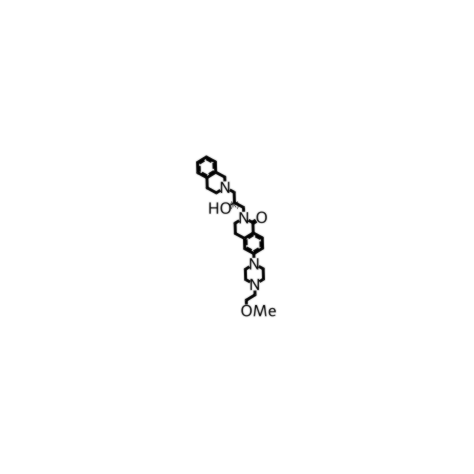 COCCN1CCN(c2ccc3c(c2)CCN(C[C@H](O)CN2CCc4ccccc4C2)C3=O)CC1